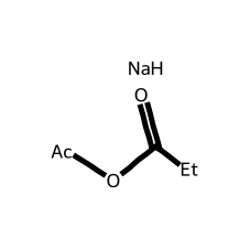 CCC(=O)OC(C)=O.[NaH]